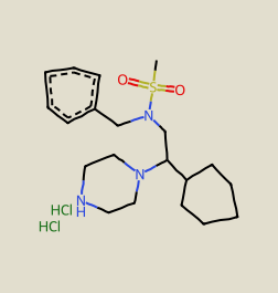 CS(=O)(=O)N(Cc1ccccc1)CC(C1CCCCC1)N1CCNCC1.Cl.Cl